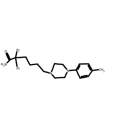 CCC(CC)(CCCCN1CCN(c2ccc(C)cc2)CC1)C(N)=O